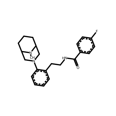 CN1C2CCCC1CN(c1ccccc1CCNC(=O)c1ccc(F)cc1)C2